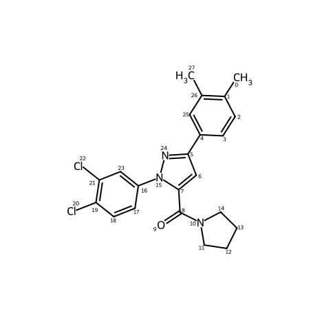 Cc1ccc(-c2cc(C(=O)N3CCCC3)n(-c3ccc(Cl)c(Cl)c3)n2)cc1C